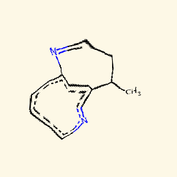 CC1CC=Nc2cccnc21